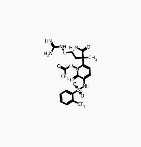 CC(CCONC(=N)N)(C(N)=O)c1ccc(NS(=O)(=O)c2ccccc2C(F)(F)F)c(=O)n1OC(=O)C(F)(F)F